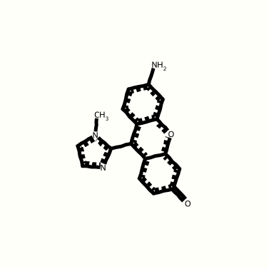 Cn1ccnc1-c1c2ccc(=O)cc-2oc2cc(N)ccc12